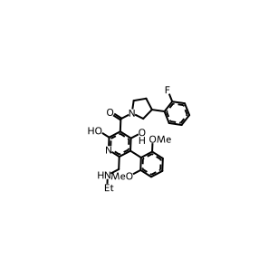 CCNCc1nc(O)c(C(=O)N2CCC(c3ccccc3F)C2)c(O)c1-c1c(OC)cccc1OC